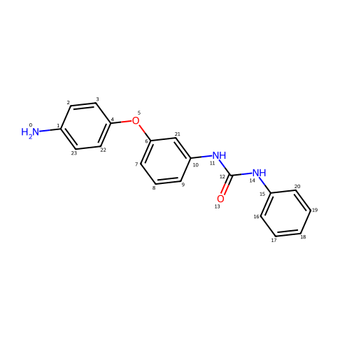 Nc1ccc(Oc2cccc(NC(=O)Nc3ccccc3)c2)cc1